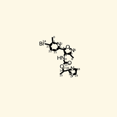 Cc1nc(-c2onc(C)c2NC(=O)OC(C)c2nccs2)ccc1Br